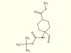 COC(=O)C1CCC(C=O)(NC(=O)OC(C)(C)C)CC1